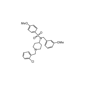 COc1ccc(S(=O)(=O)N(Cc2cccc(OC)c2)C2CCN(Cc3ccccc3Cl)CC2)cc1